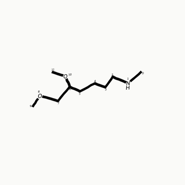 CNCCCCC(COC)OC